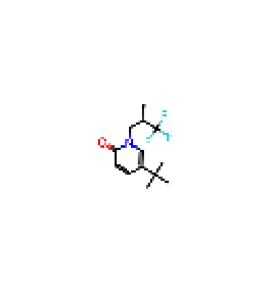 C[C@H](Cn1cc(C(C)(C)C)ccc1=O)C(F)(F)F